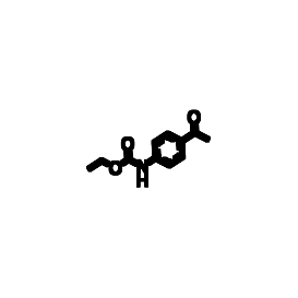 CCOC(=O)Nc1ccc(C(C)=O)cc1